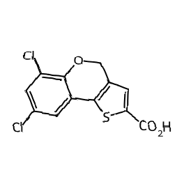 O=C(O)c1cc2c(s1)-c1cc(Cl)cc(Cl)c1OC2